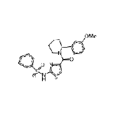 COc1cccc(C2CCCCN2C(=O)c2csc(NS(=O)(=O)c3ccccc3)n2)c1